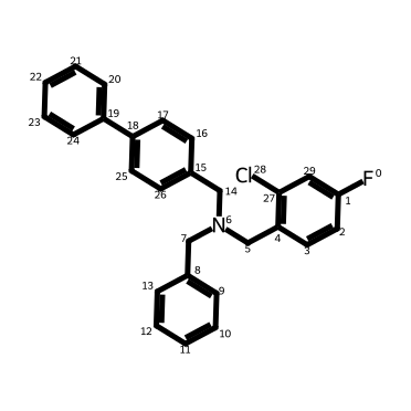 Fc1ccc(CN(Cc2ccccc2)Cc2ccc(-c3ccccc3)cc2)c(Cl)c1